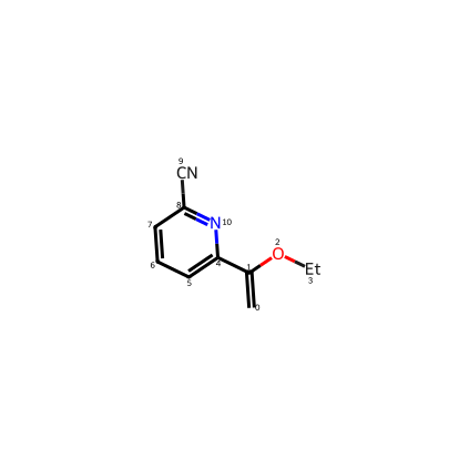 C=C(OCC)c1cccc(C#N)n1